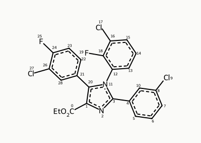 CCOC(=O)c1nc(-c2cccc(Cl)c2)n(-c2cccc(Cl)c2F)c1-c1ccc(F)c(Cl)c1